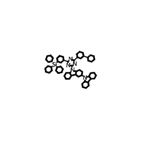 c1ccc(-c2cccc(-c3nc(-c4cccc([Si](c5ccccc5)(c5ccccc5)c5ccccc5)c4)nc(-n4c5ccccc5c5cc(-n6c7ccccc7c7ccccc76)ccc54)n3)c2)cc1